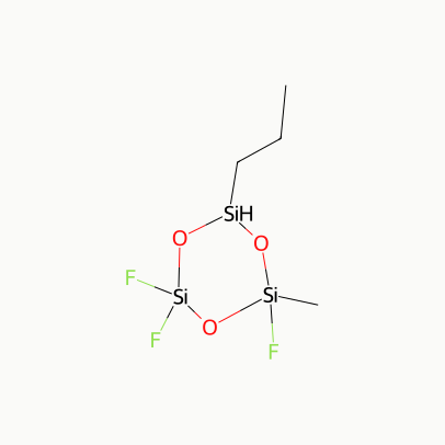 CCC[SiH]1O[Si](C)(F)O[Si](F)(F)O1